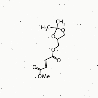 COC(=O)/C=C/C(=O)OC[C@@H]1COC(C)(C)O1